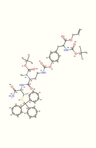 C=CCOC(=O)C(Cc1ccc(OC(=O)NCCC(C(=O)NC(CSC(c2ccccc2)(c2ccccc2)c2ccccc2)C(N)=O)N(C)C(=O)OC(C)(C)C)cc1)NC(=O)OC(C)(C)C